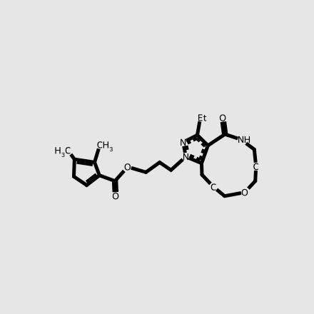 CCc1nn(CCCOC(=O)C2=CCC(C)=C2C)c2c1C(=O)NCCCOCCC2